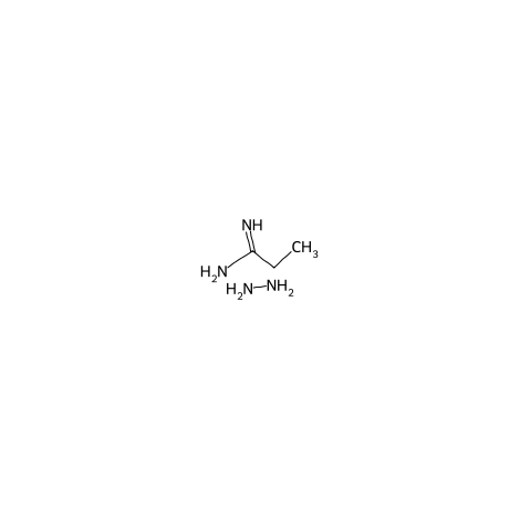 CCC(=N)N.NN